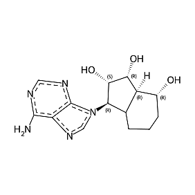 Nc1ncnc2c1ncn2[C@@H]1C2CCC[C@@H](O)[C@@H]2[C@@H](O)[C@H]1O